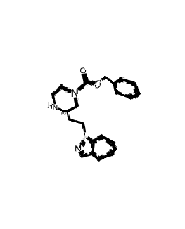 O=C(OCc1ccccc1)N1CCN[C@H](CCn2ncc3ccccc32)C1